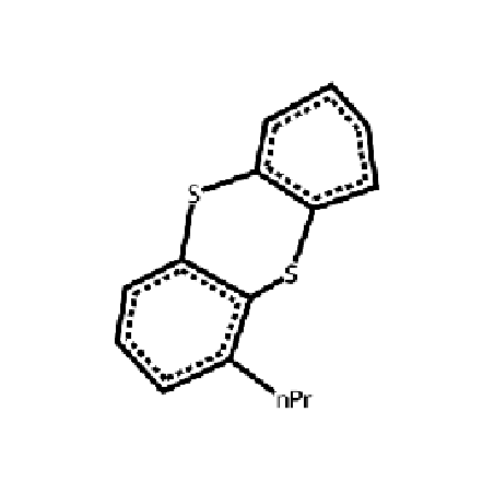 [CH2]CCc1cccc2c1Sc1ccccc1S2